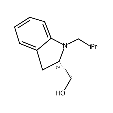 C[C](C)CN1c2ccccc2C[C@H]1CO